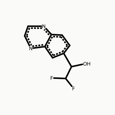 OC(c1ccc2nccnc2c1)C(F)F